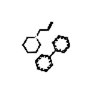 C=CCN1CCCCC1.c1ccc(-c2ccccc2)cc1